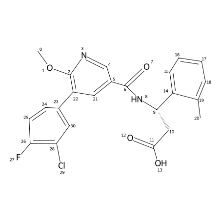 COc1ncc(C(=O)N[C@@H](CC(=O)O)c2ccccc2C)cc1-c1ccc(F)c(Cl)c1